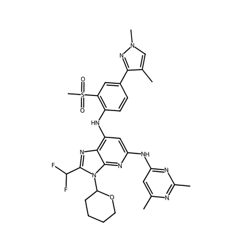 Cc1cc(Nc2cc(Nc3ccc(-c4nn(C)cc4C)cc3S(C)(=O)=O)c3nc(C(F)F)n(C4CCCCO4)c3n2)nc(C)n1